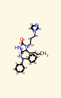 CCCCC1/C(=N\C(c2ccccc2)c2ccccc2)NC(=O)N1CCCn1ccnc1